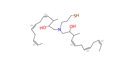 C/C=C\C/C=C\C/C=C\C(C)C(O)CN(CCCS)CC(O)C(C)/C=C\C/C=C\C/C=C\C